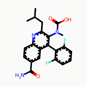 CC(C)Cc1nc2ccc(C(N)=O)cc2c(-c2c(F)cccc2F)c1N(C)C(=O)O